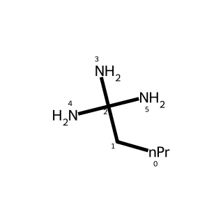 CCCCC(N)(N)N